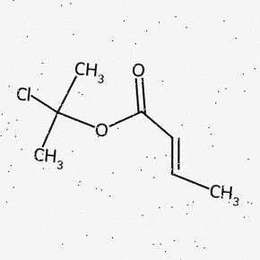 CC=CC(=O)OC(C)(C)Cl